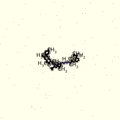 C=C(C(C)=O)C1CCCC(CC(OC)/C(C)=C/C=C/C=C/C(C)CC(C)C(=O)CC(/C(C)=C/C(C)C(CCCCC2(C)CCC(C)CC2)C(=O)[C@@H](C)CCCCC)C2CC2)O1